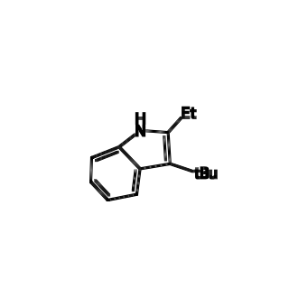 CCc1[nH]c2ccccc2c1C(C)(C)C